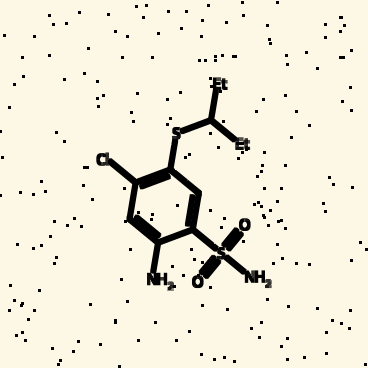 CCC(CC)Sc1cc(S(N)(=O)=O)c(N)cc1Cl